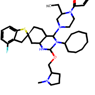 C=CC(=O)N1CCN(C2C3CC[C@]4(Cc5c(F)cccc5S4)CC3NC(OCC3CCCN3C)N2C2CCCCCCC2)CC1CC#N